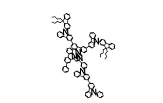 CCCCC1(CCCC)c2ccccc2-c2ccc(-n3c4ccccc4c4cc(-c5ccc6c(c5)c5cc(-c7ccc8c(c7)c7ccccc7n8-c7ccc8c(c7)C(CCCC)(CCCC)c7ccccc7-8)ccc5n6-c5nc(-c6cccc(-n7c8ccccc8c8cc(-c9ccc%10c(c9)c9ccccc9n%10-c9ccccc9)ccc87)c6)cc(-c6cc(-c7ccccc7)ccc6-c6ccccc6)n5)ccc43)cc21